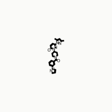 Cc1cc(C)n(-c2ccc(=O)n(C3CCN(C(=O)c4cccc(-n5cccn5)c4)CC3)n2)n1